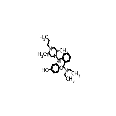 CCCN1C[C@@H](C)N([C@@H](c2cccc(O)c2)c2ccccc2C(=O)N(CC)CC)C[C@H]1C